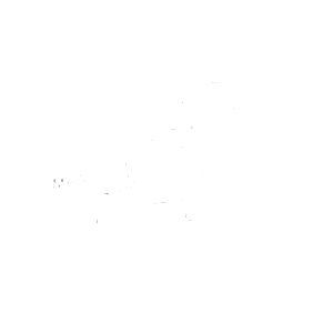 COC(=O)C1=CCC2C(CCC3C(C)(C)CCCC23C)C(=O)C1